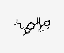 Cc1cc2cc(NC(=N)c3cccs3)ccc2n1CCN(C)C